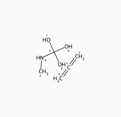 C=C=C.CNC(O)(O)O